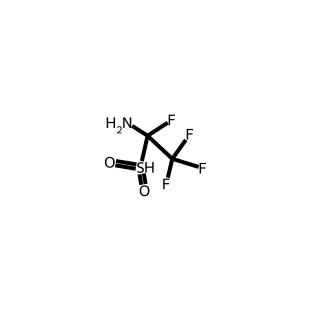 NC(F)([SH](=O)=O)C(F)(F)F